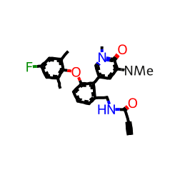 C#CC(=O)NCc1cccc(Oc2c(C)cc(F)cc2C)c1-c1cc(NC)c(=O)n(C)c1